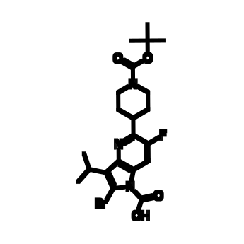 CC(C)c1c(Br)n(C(=O)O)c2cc(F)c(C3CCN(C(=O)OC(C)(C)C)CC3)nc12